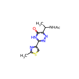 CC(=O)NC(C)c1nnc(-c2csc(C)n2)[nH]c1=O